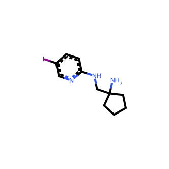 NC1(CNc2ccc(I)cn2)CCCC1